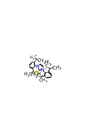 CC(C)c1cccc(C(C)C)c1-n1cc[n+](-c2c(C(C)C)cccc2C(C)C)c1S